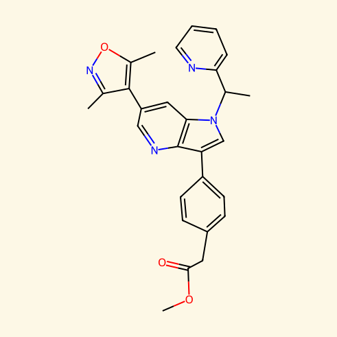 COC(=O)Cc1ccc(-c2cn(C(C)c3ccccn3)c3cc(-c4c(C)noc4C)cnc23)cc1